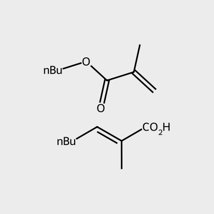 C=C(C)C(=O)OCCCC.CCCCC=C(C)C(=O)O